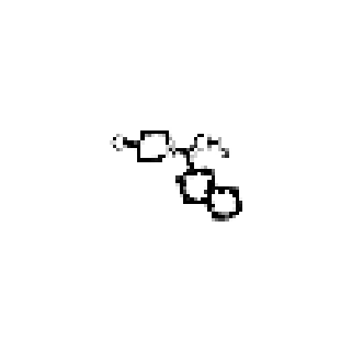 C[C@@H](c1ccc2ccccc2c1)N1CCC(=O)CC1